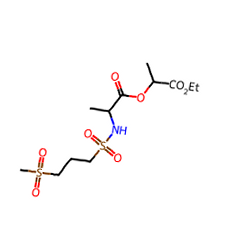 CCOC(=O)C(C)OC(=O)C(C)NS(=O)(=O)CCCS(C)(=O)=O